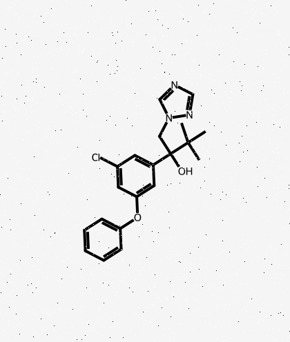 CC(C)(C)C(O)(Cn1cncn1)c1cc(Cl)cc(Oc2ccccc2)c1